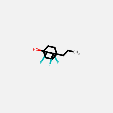 CCCC12CCC(O)(CC1)C(F)C2(F)F